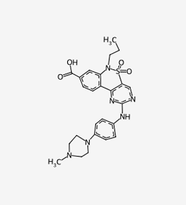 CCCN1c2cc(C(=O)O)ccc2-c2nc(Nc3ccc(N4CCN(C)CC4)cc3)ncc2S1(=O)=O